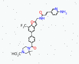 CC1(C)CN(C(=O)O)CCN1C(=O)c1ccc(-c2cc(C(F)(F)F)c3oc(CNC(=O)C=Cc4ccc(N)nc4)cc3c2)cc1